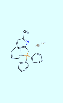 Br.Cc1cccc(C[P+](c2ccccc2)(c2ccccc2)c2ccccc2)n1.[Br-]